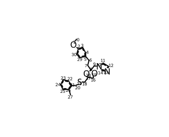 COc1ccc(CCC2(Cn3ccnc3)OCC(CSCc3ccccc3C)O2)cc1